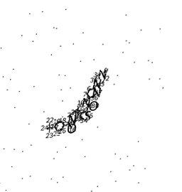 CN1CCN(c2ccc(N(CC3C4CN(C(=O)c5ccc(C(C)(C)C)cc5)CC43)C(=O)c3cccs3)cn2)CC1